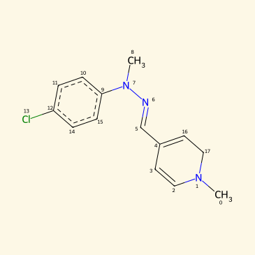 CN1C=CC(C=NN(C)c2ccc(Cl)cc2)=CC1